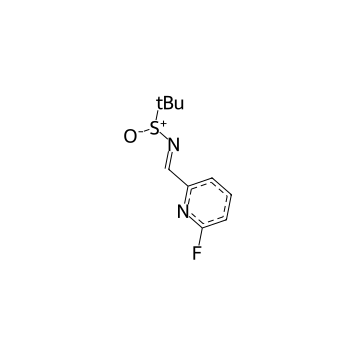 CC(C)(C)[S+]([O-])N=Cc1cccc(F)n1